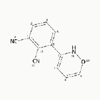 N#Cc1cccc(C2=CC=CON2)c1C#N